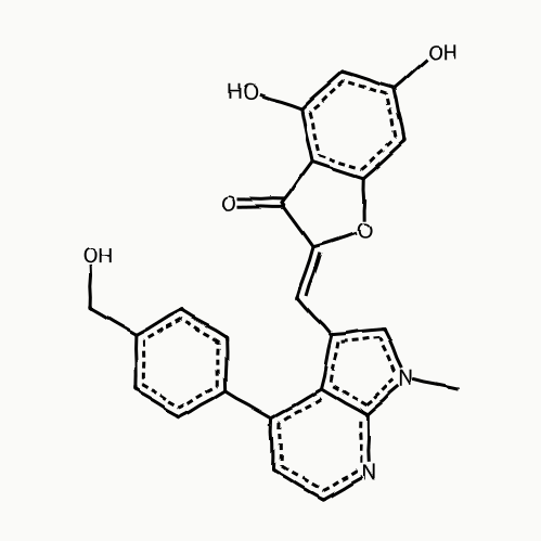 Cn1cc(/C=C2\Oc3cc(O)cc(O)c3C2=O)c2c(-c3ccc(CO)cc3)ccnc21